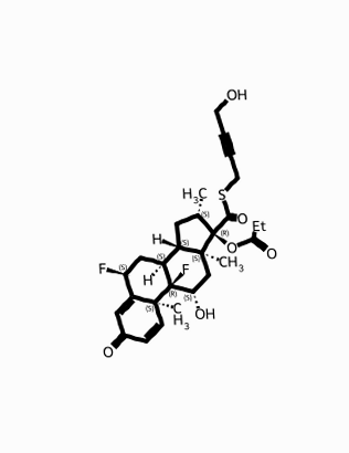 CCC(=O)O[C@]1(C(=O)SCC#CCO)[C@@H](C)C[C@H]2[C@@H]3C[C@H](F)C4=CC(=O)C=C[C@]4(C)[C@@]3(F)[C@@H](O)C[C@@]21C